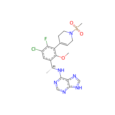 COc1c([C@@H](C)Nc2ncnc3[nH]cnc23)cc(Cl)c(F)c1C1=CCN(S(C)(=O)=O)CC1